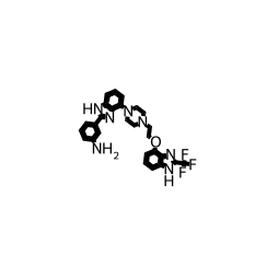 Nc1cccc(-c2nc3c(N4CCN(CCOc5cccc6[nH]c(C(F)(F)F)nc56)CC4)cccc3[nH]2)c1